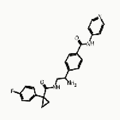 NC(CNC(=O)C1(c2ccc(F)cc2)CC1)c1ccc(C(=O)Nc2ccncc2)cc1